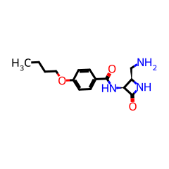 CCCCOc1ccc(C(=O)N[C@@H]2C(=O)N[C@@H]2CN)cc1